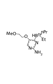 CCC[C@H](Bc1nc(N)ncc1OCCOC)CC